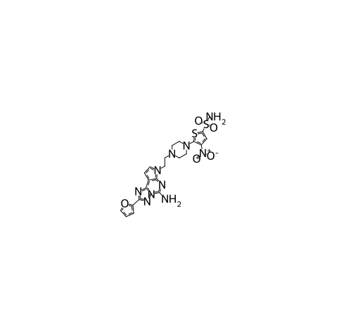 Nc1nc2c(ccn2CCN2CCN(c3sc(S(N)(=O)=O)cc3[N+](=O)[O-])CC2)c2nc(-c3ccco3)nn12